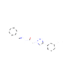 CC(=O)Nc1cccc(-c2cn(CC(=O)NN=Cc3cc(Cl)ccc3O)nn2)c1